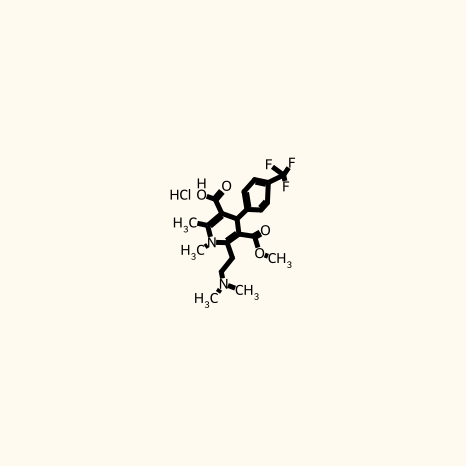 COC(=O)C1=C(CCN(C)C)N(C)C(C)=C(C(=O)O)C1c1ccc(C(F)(F)F)cc1.Cl